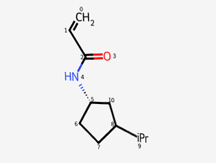 C=CC(=O)N[C@H]1CCC(C(C)C)C1